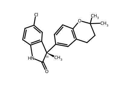 CC1(C)CCc2cc([C@]3(C)C(=O)Nc4ccc(Cl)cc43)ccc2O1